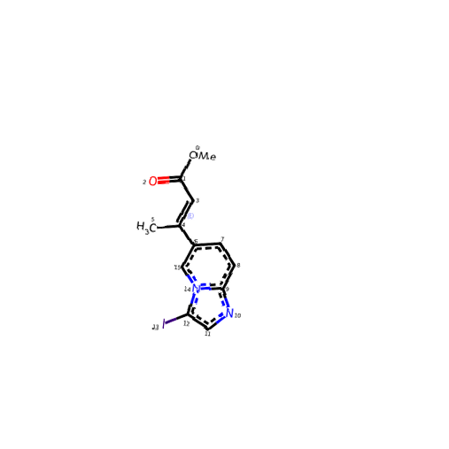 COC(=O)/C=C(\C)c1ccc2ncc(I)n2c1